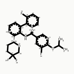 CC(C)Oc1ncc(C(=O)Nc2c(-c3ncccc3F)ccnc2[C@H]2CCC(F)(F)CO2)cc1F